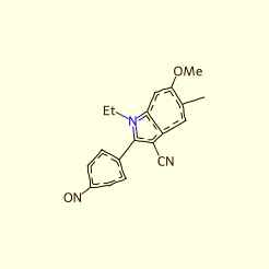 CCn1c(-c2ccc(N=O)cc2)c(C#N)c2cc(C)c(OC)cc21